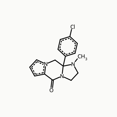 CN1CCN2C(=O)c3cccn3CC12c1ccc(Cl)cc1